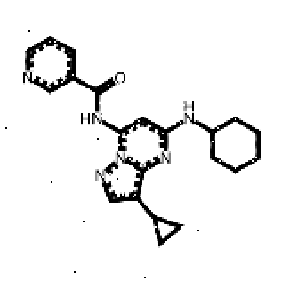 O=C(Nc1cc(NC2CCCCC2)nc2c(C3CC3)cnn12)c1cccnc1